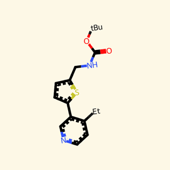 CCc1ccncc1-c1ccc(CNC(=O)OC(C)(C)C)s1